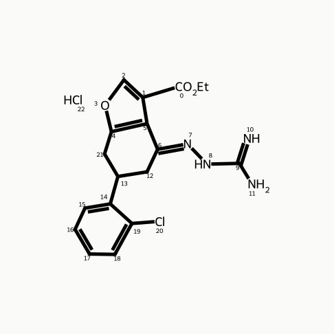 CCOC(=O)c1coc2c1/C(=N/NC(=N)N)CC(c1ccccc1Cl)C2.Cl